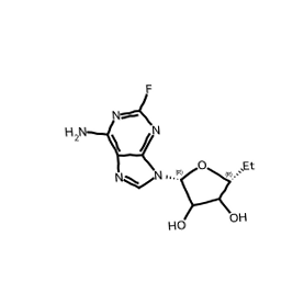 CC[C@H]1O[C@@H](n2cnc3c(N)nc(F)nc32)C(O)C1O